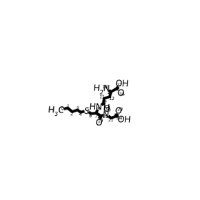 CCCCCSCC(NC(=O)CCC(N)C(=O)O)C(=O)NCC(=O)O